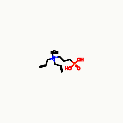 C=CC[N+](CC=C)(CCCC)CCCP(=O)(O)O